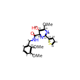 COc1cccc(CNC(=O)c2nc(-c3cccs3)nc(OC)c2O)c1OC